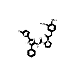 COc1ccc(CC(=O)N2CCC[C@@H]2C(=O)Nc2nc(-c3ccc(F)s3)[nH]c2-c2ccccc2)cc1OC